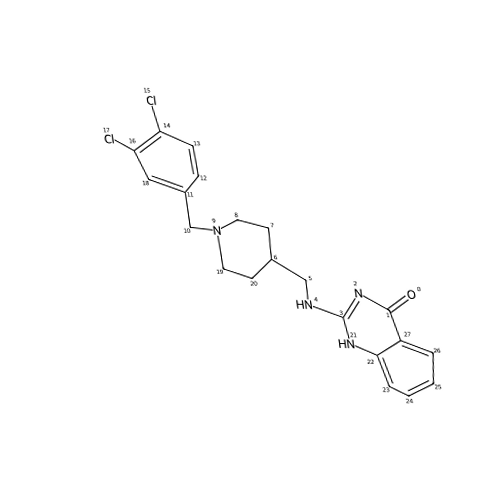 O=c1nc(NCC2CCN(Cc3ccc(Cl)c(Cl)c3)CC2)[nH]c2ccccc12